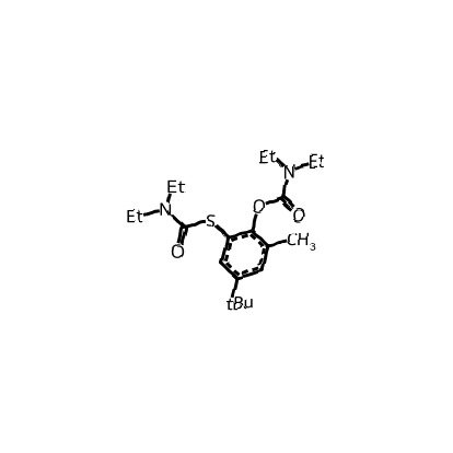 CCN(CC)C(=O)Oc1c(C)cc(C(C)(C)C)cc1SC(=O)N(CC)CC